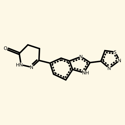 O=C1CCC(c2ccc3[nH]c(-c4csnn4)nc3c2)=NN1